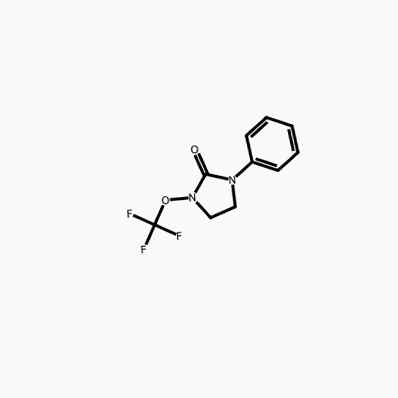 O=C1N(OC(F)(F)F)CCN1c1ccccc1